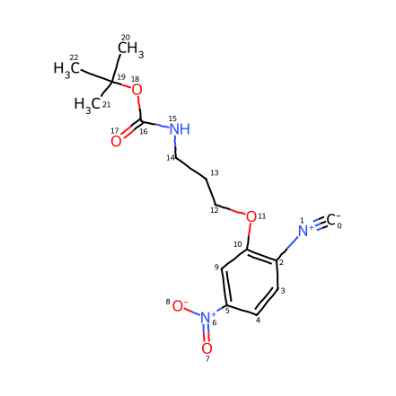 [C-]#[N+]c1ccc([N+](=O)[O-])cc1OCCCNC(=O)OC(C)(C)C